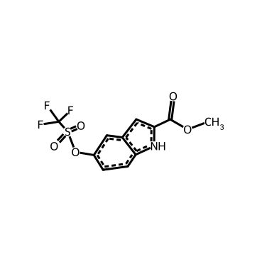 COC(=O)c1cc2cc(OS(=O)(=O)C(F)(F)F)ccc2[nH]1